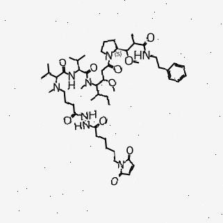 CCC(C)C(C(CC(=O)N1CCC[C@H]1C(OC)C(C)C(=O)NCCc1ccccc1)OC)N(C)C(=O)C(NC(=O)C(C(C)C)N(C)CCCC(=O)NNC(=O)CCCCCN1C(=O)C=CC1=O)C(C)C